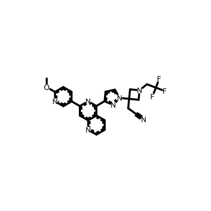 COc1ccc(-c2cc3ncccc3c(-c3ccn(C4(CC#N)CN(CC(F)(F)F)C4)n3)n2)cn1